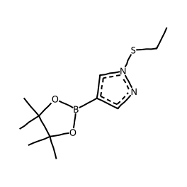 CCSn1cc(B2OC(C)(C)C(C)(C)O2)cn1